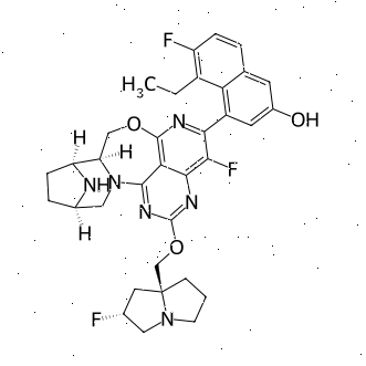 CCc1c(F)ccc2cc(O)cc(-c3nc4c5c(nc(OC[C@@]67CCCN6C[C@H](F)C7)nc5c3F)N3C[C@H]5CC[C@H](N5)[C@H]3CO4)c12